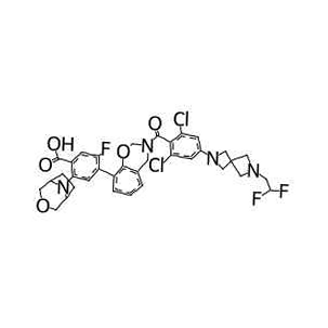 O=C(O)c1cc(F)c(-c2cccc3c2OCN(C(=O)c2c(Cl)cc(N4CC5(CN(CC(F)F)C5)C4)cc2Cl)C3)cc1N1C2CCC1COC2